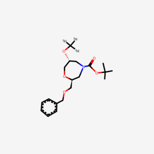 [2H]C([2H])([2H])O[C@H]1CO[C@H](COCc2ccccc2)CN(C(=O)OC(C)(C)C)C1